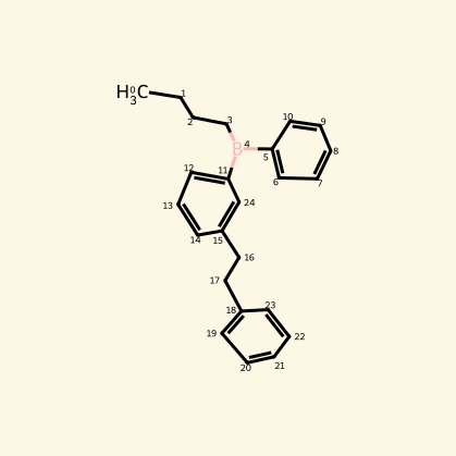 CCCCB(c1ccccc1)c1cccc(CCc2ccccc2)c1